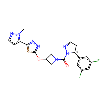 Cn1nccc1-c1nnc(OC2CN(C(=O)N3N=CC[C@H]3c3cc(F)cc(F)c3)C2)s1